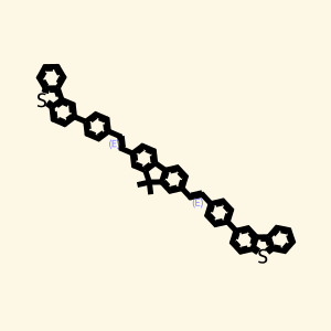 CC1(C)c2cc(/C=C/c3ccc(-c4ccc5sc6ccccc6c5c4)cc3)ccc2-c2ccc(/C=C/c3ccc(-c4ccc5sc6ccccc6c5c4)cc3)cc21